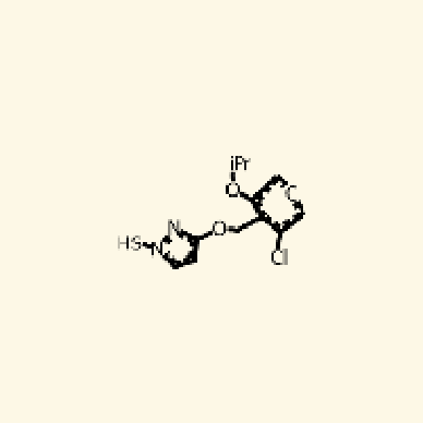 CC(C)Oc1cccc(Cl)c1COc1ccn(S)n1